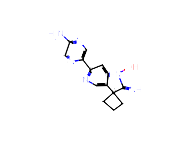 N=C(NO)C1(c2ccc(-c3cnc(N)cn3)nc2)CCC1